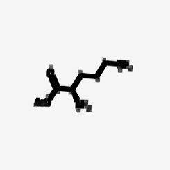 CC(=O)OC(=O)[C@H](N)CCCN